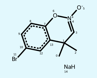 CC1(C)C=[N+]([O-])Oc2ccc(Br)cc21.[NaH]